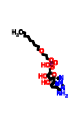 CCCCCCCCCOCCCOP(=O)(O)OC[C@H]1O[C@@](C#N)(c2ccc3c(N)ncnn23)[C@H](O)[C@@H]1O